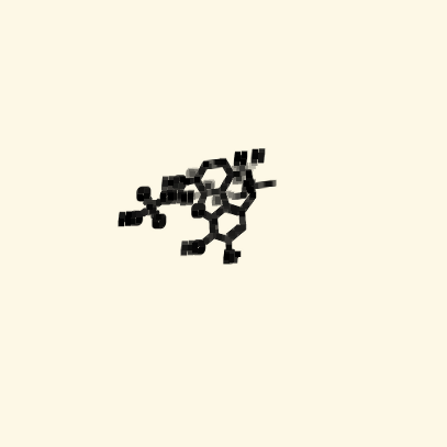 CN1CC[C@]23c4c5cc(Br)c(O)c4O[C@H]2[C@@H](O)C=C[C@H]3[C@H]1C5.O=S(=O)(O)O